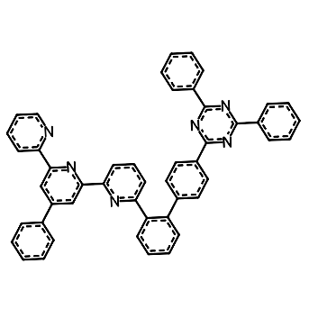 c1ccc(-c2cc(-c3ccccn3)nc(-c3cccc(-c4ccccc4-c4ccc(-c5nc(-c6ccccc6)nc(-c6ccccc6)n5)cc4)n3)c2)cc1